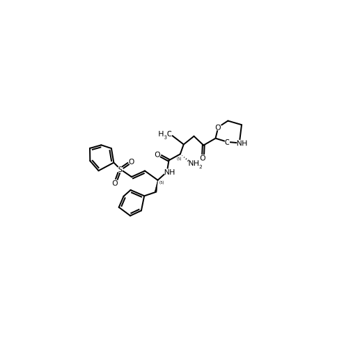 CC(CC(=O)C1CNCCO1)[C@H](N)C(=O)N[C@H](C=CS(=O)(=O)c1ccccc1)Cc1ccccc1